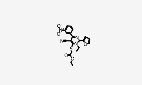 CCOC(=O)CSC1=C(C#N)C(c2cccc([N+](=O)[O-])c2)=NC(c2ccco2)N1CC